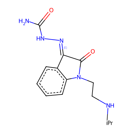 CC(C)NCCN1C(=O)/C(=N/NC(N)=O)c2ccccc21